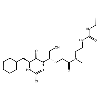 CCNC(=O)NCCN(C)C(=O)CC[C@@H](CO)NC(=O)[C@H](CC1CCCCC1)NC(=O)O